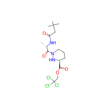 C[C@H](NC(=O)CC(C)(C)C)C(=O)N1CCC[C@@H](C(=O)OCC(Cl)(Cl)Cl)N1